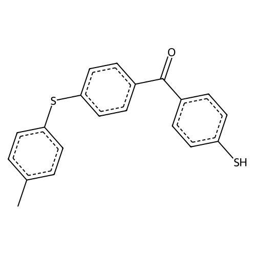 Cc1ccc(Sc2ccc(C(=O)c3ccc(S)cc3)cc2)cc1